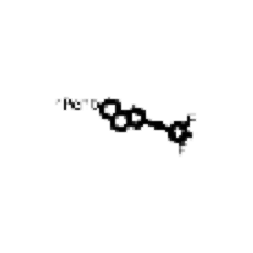 CCCCCC1CCC2c3ccc(C#Cc4cc(F)c(F)c(F)c4)cc3CCC2C1